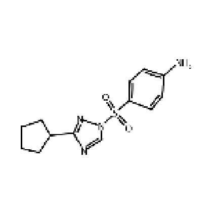 Nc1ccc(S(=O)(=O)n2cnc(C3CCCC3)n2)cc1